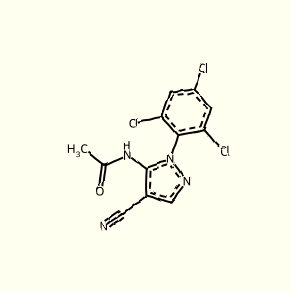 CC(=O)Nc1c(C#N)cnn1-c1c(Cl)cc(Cl)cc1Cl